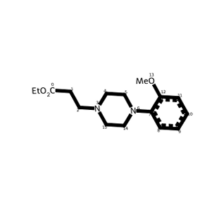 CCOC(=O)CCN1CCN(c2ccccc2OC)CC1